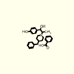 CC(C(O)c1ccc(O)cc1)N1CCC(Cc2ccccc2)CC1.O=C(O)c1ccccc1